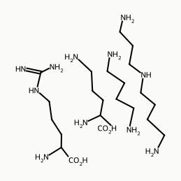 N=C(N)NCCCC(N)C(=O)O.NCCCC(N)C(=O)O.NCCCCN.NCCCCNCCCN